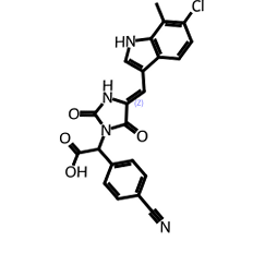 Cc1c(Cl)ccc2c(/C=C3\NC(=O)N(C(C(=O)O)c4ccc(C#N)cc4)C3=O)c[nH]c12